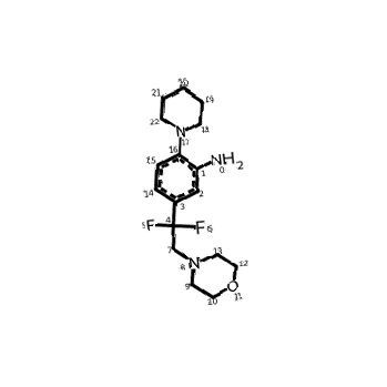 Nc1cc(C(F)(F)CN2CCOCC2)ccc1N1CCCCC1